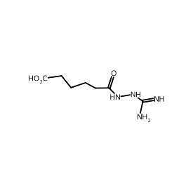 N=C(N)NNC(=O)CCCCC(=O)O